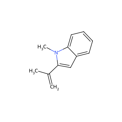 C=C(C)c1cc2ccccc2n1C